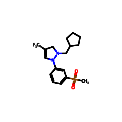 CS(=O)(=O)c1cccc(N2C=C(C(F)(F)F)CN2CC2CCCC2)c1